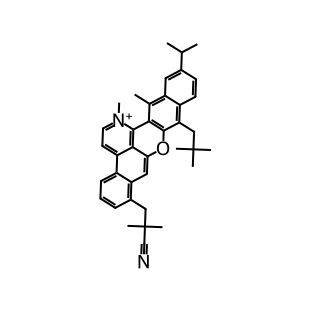 Cc1c2c(c(CC(C)(C)C)c3ccc(C(C)C)cc13)Oc1cc3c(CC(C)(C)C#N)cccc3c3cc[n+](C)c-2c13